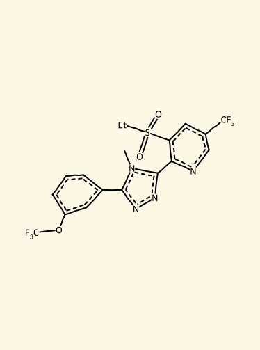 CCS(=O)(=O)c1cc(C(F)(F)F)cnc1-c1nnc(-c2cccc(OC(F)(F)F)c2)n1C